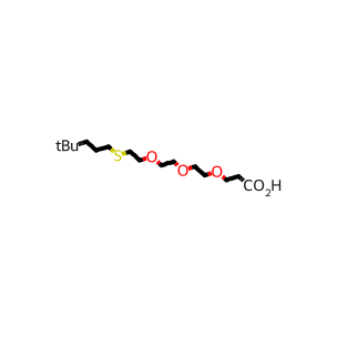 CC(C)(C)CCCSCCOCCOCCOCCC(=O)O